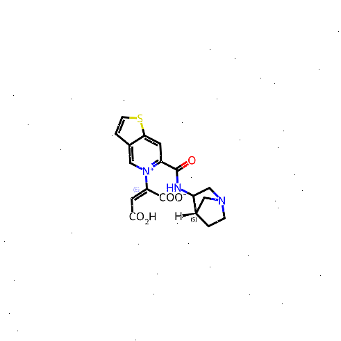 O=C(O)/C=C(\C(=O)[O-])[n+]1cc2ccsc2cc1C(=O)NC1CN2CC[C@H]1C2